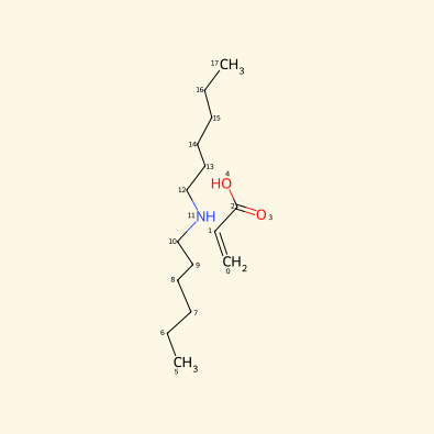 C=CC(=O)O.CCCCCCNCCCCCC